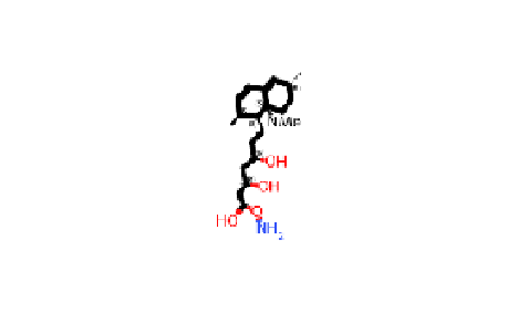 CN[C@]12CC[C@@H](C)C=C1C=C[C@H](C)[C@@H]2CC[C@@H](O)C[C@@H](O)CC(O)ON